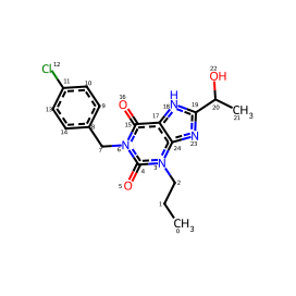 CCCn1c(=O)n(Cc2ccc(Cl)cc2)c(=O)c2[nH]c(C(C)O)nc21